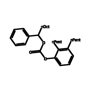 CCCCCCCCC(OC(=O)Oc1cccc(CCCCC)c1CCCCC)c1ccccc1